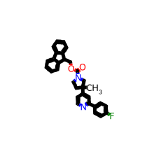 CC1(c2ccnc(-c3ccc(F)cc3)c2)CCN(C(=O)OCC2c3ccccc3-c3ccccc32)C1